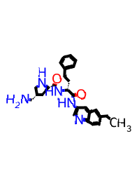 CCc1ccc2ncc(NC(=O)[C@@H](CCc3ccccc3)NC(=O)[C@@H]3C[C@H](CN)CN3)cc2c1